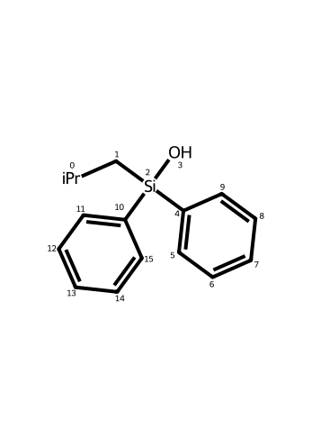 CC(C)C[Si](O)(c1ccccc1)c1ccccc1